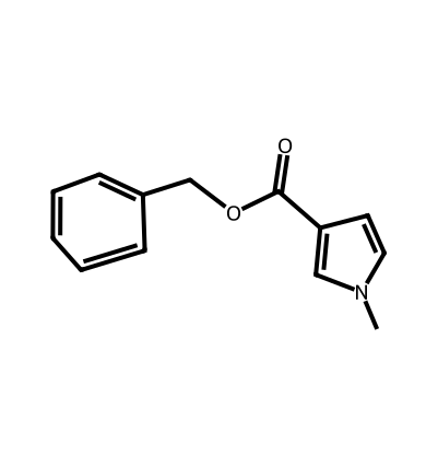 Cn1ccc(C(=O)OCc2ccccc2)c1